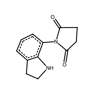 O=C1CCC(=O)N1c1cccc2c1NCC2